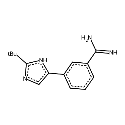 CC(C)(C)c1ncc(-c2cccc(C(=N)N)c2)[nH]1